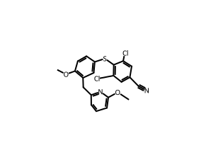 COc1cccc(Cc2cc(Sc3c(Cl)cc(C#N)cc3Cl)ccc2OC)n1